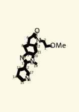 COCCN1C(=O)Cc2cc3nc(-c4cccnc4)n(C)c3cc21